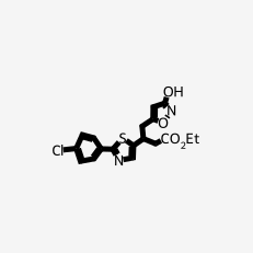 CCOC(=O)CC(Cc1cc(O)no1)c1cnc(-c2ccc(Cl)cc2)s1